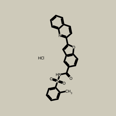 Cc1ccccc1S(=O)(=O)NC(=O)c1ccc2oc(-c3ccc4ccccc4n3)cc2c1.Cl